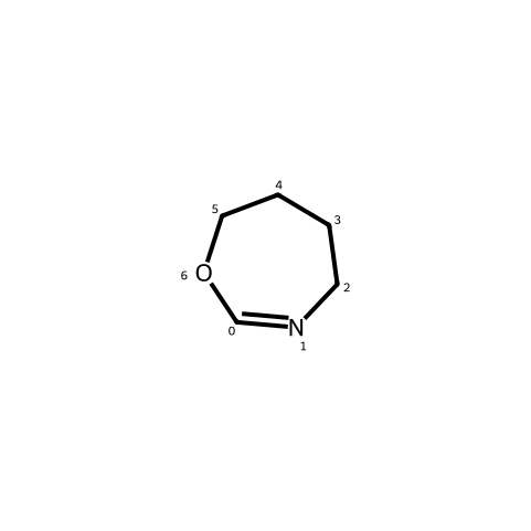 C1=NCCCCO1